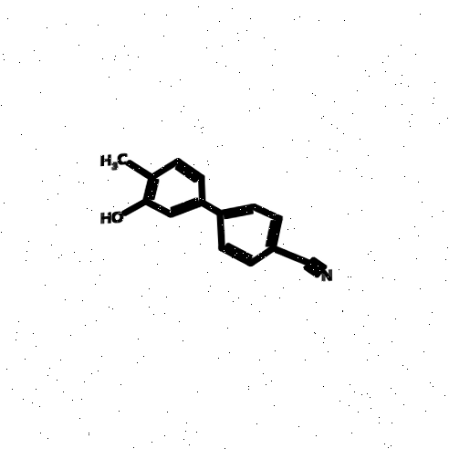 Cc1ccc(-c2ccc(C#N)cc2)cc1O